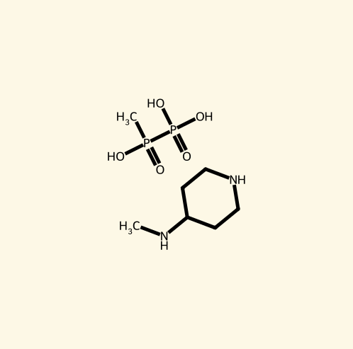 CNC1CCNCC1.CP(=O)(O)P(=O)(O)O